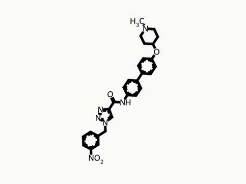 CN1CCC(Oc2ccc(-c3ccc(NC(=O)c4cn(Cc5cccc([N+](=O)[O-])c5)nn4)cc3)cc2)CC1